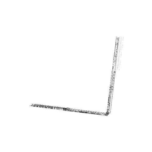 [Fe+3].[Fe+3].[Fe+3].[Fe+3].[Fe+3].[Fe+3].[Fe+3].[Fe+3].[Fe+3].[Fe+3].[Fe+3].[Fe+3].[Fe+3].[Fe+3].[Fe+3].[Fe+3].[Fe+3].[Fe+3].[Fe+3].[Fe+3].[Fe+3].[Fe+3].[Fe+3].[Fe+3].[Fe+3].[Fe+3].[Fe+3].[Fe+3].[Fe+3].[Fe+3].[Fe+3].[Fe+3].[Fe+3].[Fe+3].[Fe+3].[Fe+3].[Fe+3].[Fe+3].[Fe+3].[Fe+3].[Fe+3].[Fe+3].[Fe+3].[Fe+3].[Fe+3].[Fe+3].[Fe+3].[Fe+3].[Fe+3].[Fe+3].[Fe+3].[Fe+3].[Fe+3].[Fe+3].[Fe+3].[Fe+3].[Fe+3].[Fe+3].[Fe+3].[Fe+3].[O-2].[O-2].[O-2].[O-2].[O-2].[O-2].[O-2].[O-2].[O-2].[O-2].[O-2].[O-2].[O-2].[O-2].[O-2].[O-2].[O-2].[O-2].[O-2].[O-2].[O-2].[O-2].[O-2].[O-2].[O-2].[O-2].[O-2].[O-2].[O-2].[O-2].[O-2].[O-2].[O-2].[O-2].[O-2].[O-2].[O-2].[O-2].[O-2].[O-2].[O-2].[O-2].[O-2].[O-2].[O-2].[O-2].[O-2].[O-2].[O-2].[O-2].[O-2].[O-2].[O-2].[O-2].[O-2].[O-2].[O-2].[O-2].[O-2].[O-2].[O-2].[O-2].[O-2].[O-2].[O-2].[O-2].[O-2].[O-2].[O-2].[O-2].[O-2].[O-2].[O-2].[O-2].[O-2]